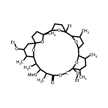 CCOC1CC23CCC(C)(O2)C2CCC(CC)(O2)C2OC(CC2C)C2OC(OCC)(COC(=O)C(C)C(OC)C(C)C(O3)C1C)C(C)CC2C